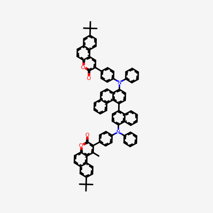 Cc1c(-c2ccc(N(c3ccccc3)c3ccc(-c4ccc(N(c5ccccc5)c5ccc(-c6cc7c(ccc8cc(C(C)(C)C)ccc87)oc6=O)cc5)c5ccc6ccccc6c45)c4ccccc34)cc2)c(=O)oc2ccc3cc(C(C)(C)C)ccc3c12